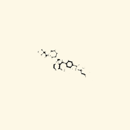 C/C(O)=C/C(=N)NC(=O)c1ccc(-c2nc([C@@H]3CCCN(C(=O)C4(C)COC4)C3)n3ccnc(N)c23)cc1